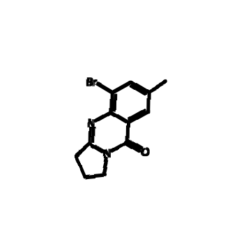 Cc1cc(Br)c2nc3n(c(=O)c2c1)CCC3